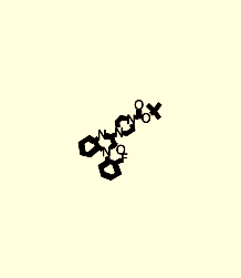 CC(C)(C)OC(=O)N1CCN(c2nc3ccccc3n(-c3ccccc3F)c2=O)CC1